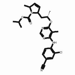 Cc1c(Nc2ccc(C#N)cc2Cl)ncnc1O[C@@H](C)CC1C=CC(C)N1C(=O)OC(C)C